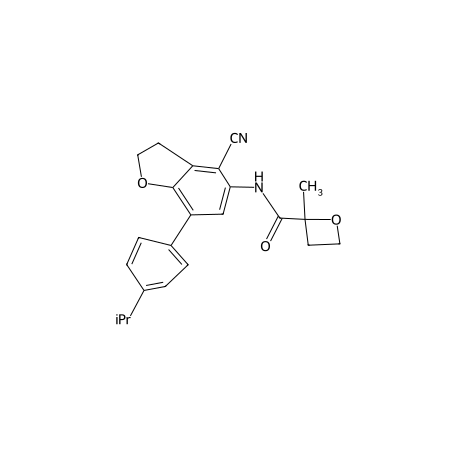 CC(C)c1ccc(-c2cc(NC(=O)C3(C)CCO3)c(C#N)c3c2OCC3)cc1